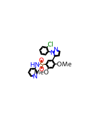 COc1cc(OC)c(S(=O)(=O)Nc2cccnc2)cc1-c1ccnn1-c1ccccc1Cl